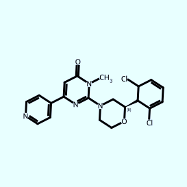 Cn1c(N2CCO[C@H](C3C(Cl)=CC=CC3Cl)C2)nc(-c2ccncc2)cc1=O